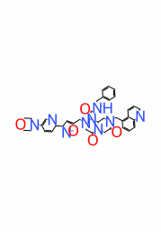 O=C1CN2C(=O)CN(Cc3cc(-c4ccc(N5CCOCC5)cn4)no3)N(C(=O)NCc3ccccc3)C2CN1Cc1cccc2ncccc12